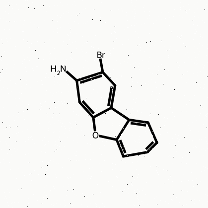 Nc1cc2oc3ccccc3c2cc1Br